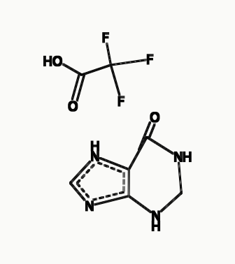 O=C(O)C(F)(F)F.O=C1NCNc2nc[nH]c21